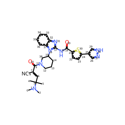 CN(C)C(C)(C)C=C(C#N)C(=O)N1CCCC(n2c(NC(=O)c3ccc(-c4cn[nH]c4)s3)nc3ccccc32)C1